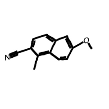 COc1ccc2c(C)c(C#N)ccc2c1